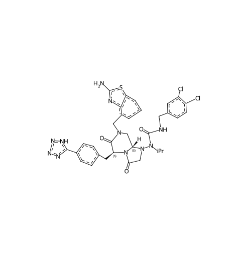 CC(C)N(C(=O)NCc1ccc(Cl)c(Cl)c1)N1CC(=O)N2[C@@H](Cc3ccc(-c4nnn[nH]4)cc3)C(=O)N(Cc3cccc4sc(N)nc34)C[C@@H]21